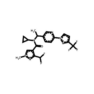 CC(c1ccc(-n2ccc(C(F)(F)F)n2)nc1)N(C(=O)c1cn(C)nc1C(F)F)C1CC1